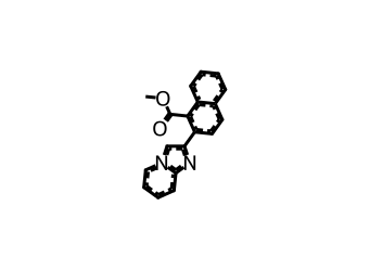 COC(=O)c1c(-c2cn3ccccc3n2)ccc2ccccc12